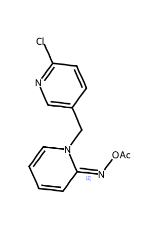 CC(=O)O/N=c1/ccccn1Cc1ccc(Cl)nc1